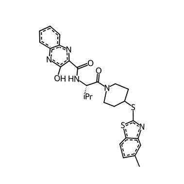 Cc1ccc2sc(SC3CCN(C(=O)[C@@H](NC(=O)c4nc5ccccc5nc4O)C(C)C)CC3)nc2c1